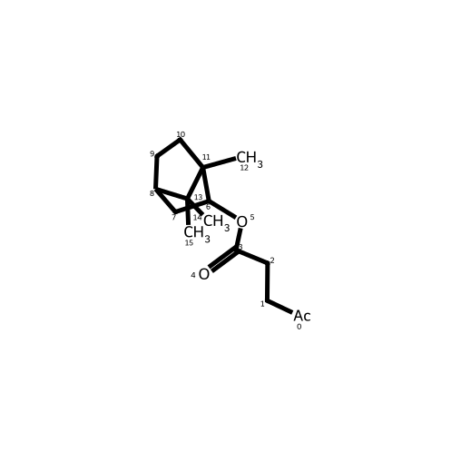 CC(=O)CCC(=O)OC1CC2CCC1(C)C2(C)C